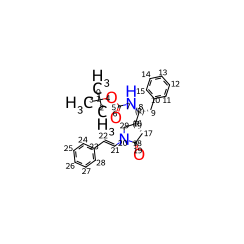 CC(C)(C)OC(=O)N[C@H](Cc1ccccc1)[C@@H]1CC(=O)N(C=Cc2ccccc2)C1